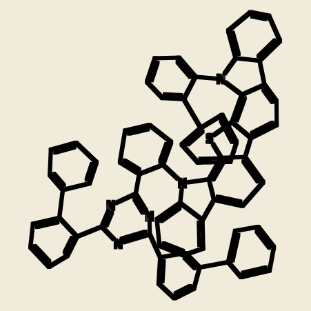 c1ccc(-c2cccc(-c3nc(-c4ccccc4-c4ccccc4)nc(-c4ccccc4-n4c5ccccc5c5ccc6c7ccc8c9ccccc9n(-c9ccccc9-c9ccccc9)c8c7sc6c54)n3)c2)cc1